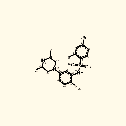 Cc1cc(Br)ccc1S(=O)(=O)Nc1cc(N2CC(C)NC(C)C2)ccc1F